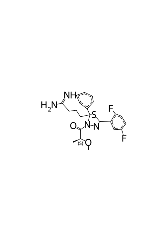 CO[C@@H](C)C(=O)N1N=C(c2cc(F)ccc2F)SC1(CCCC(=N)N)c1ccccc1